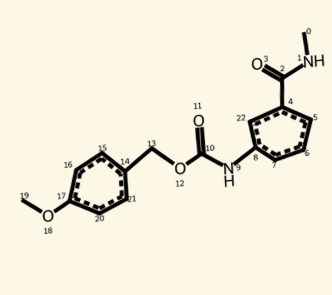 CNC(=O)c1cccc(NC(=O)OCc2ccc(OC)cc2)c1